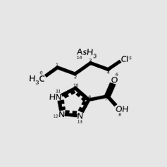 CCCCCCl.O=C(O)c1c[nH]nn1.[AsH3]